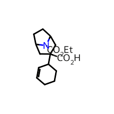 CCOC(=O)N1C2CCC1CC(C(=O)O)(C1C=CCCC1)C2